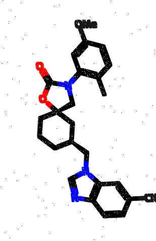 COc1ccc(C)c(N2C[C@@]3(CCC[C@H](Cn4cnc5ccc(C#N)cc54)C3)OC2=O)c1